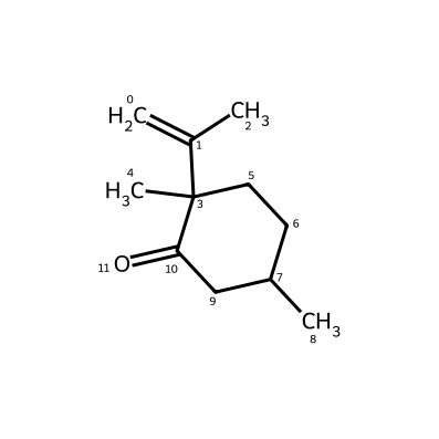 C=C(C)C1(C)CCC(C)CC1=O